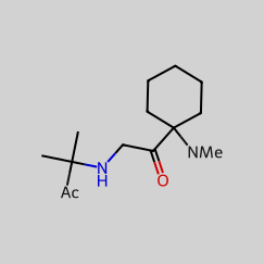 CNC1(C(=O)CNC(C)(C)C(C)=O)CCCCC1